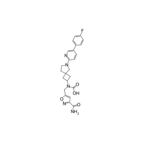 NC(=O)c1cc(CN(C(=O)O)C2CC3(CCN(c4ccc(-c5ccc(F)cc5)cn4)C3)C2)on1